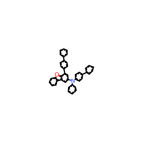 c1ccc(-c2ccc(-c3cc(N(c4ccccc4)c4ccc(-c5ccccc5)cc4)cc4c3oc3ccccc34)cc2)cc1